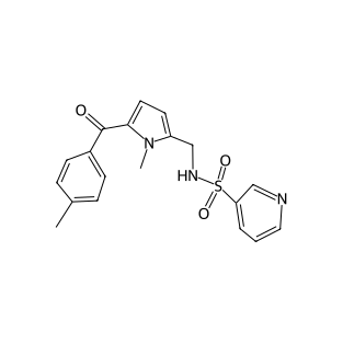 Cc1ccc(C(=O)c2ccc(CNS(=O)(=O)c3cccnc3)n2C)cc1